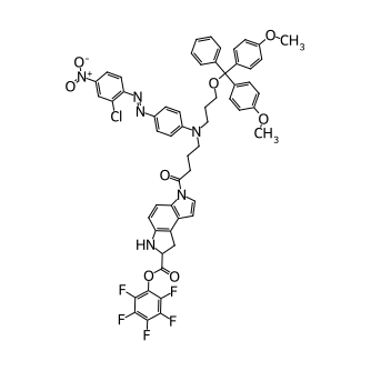 COc1ccc(C(OCCCN(CCCC(=O)n2ccc3c4c(ccc32)NC(C(=O)Oc2c(F)c(F)c(F)c(F)c2F)C4)c2ccc(N=Nc3ccc([N+](=O)[O-])cc3Cl)cc2)(c2ccccc2)c2ccc(OC)cc2)cc1